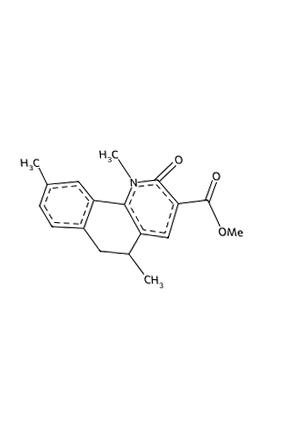 COC(=O)c1cc2c(n(C)c1=O)-c1cc(C)ccc1CC2C